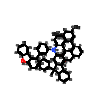 CC(C)(C)c1cc(-c2cccc3cccc(-c4ccccc4N(c4cccc(-c5cccc6oc7ccccc7c56)c4)c4ccc5c(c4)C(C)(c4ccccc4)c4ccccc4-5)c23)cc(C(C)(C)C)c1